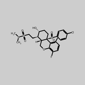 CN(C)S(=O)(=O)CC[C@H]1[C@H](O)CC[C@]2(S(=O)(=O)c3ccc(Cl)cc3)c3c(F)ccc(F)c3OC[C@H]12